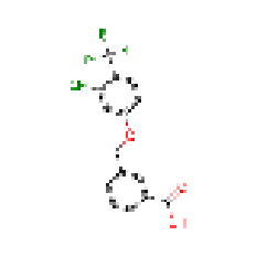 O=C(O)c1cccc(COc2ccc(C(F)(F)F)c(Cl)c2)c1